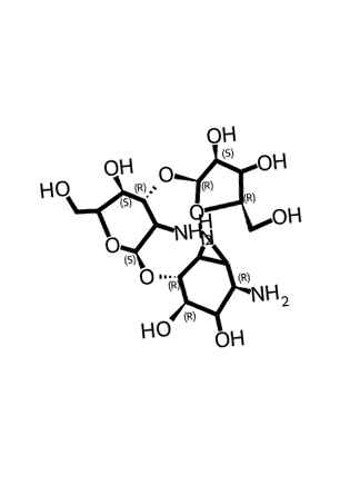 NC1[C@@H](O[C@@H]2C3NC3[C@@H](N)C(O)[C@H]2O)OC(CO)[C@@H](O)[C@@H]1O[C@@H]1O[C@H](CO)C(O)[C@@H]1O